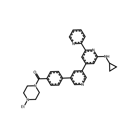 CCN1CCN(C(=O)c2ccc(-c3cncc(-c4cc(NC5CC5)nc(-c5ccccn5)c4)c3)cc2)CC1